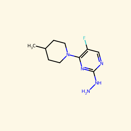 CC1CCN(c2nc(NN)ncc2F)CC1